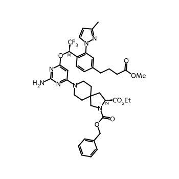 CCOC(=O)[C@@H]1CC2(CCN(c3cc(O[C@H](c4ccc(CCCC(=O)OC)cc4-n4ccc(C)n4)C(F)(F)F)nc(N)n3)CC2)CN1C(=O)OCc1ccccc1